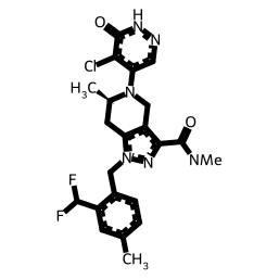 CNC(=O)c1nn(Cc2ccc(C)cc2C(F)F)c2c1CN(c1cn[nH]c(=O)c1Cl)[C@H](C)C2